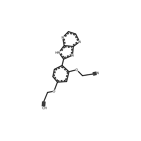 C#CCOc1ccc(-c2nc3nccnc3[nH]2)c(OCC#N)c1